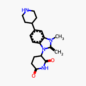 C=C1N(C)c2cc(C3CCNCC3)ccc2N1C1CCC(=O)NC1=O